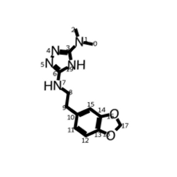 CN(C)c1nnc(NCCc2ccc3c(c2)OCO3)[nH]1